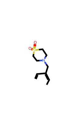 C=C/C(=C\C)CN1CCS(=O)(=O)CC1